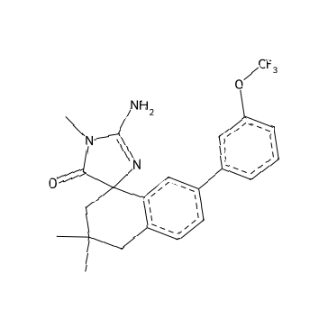 CN1C(=O)C2(CC(C)(C)Cc3ccc(-c4cccc(OC(F)(F)F)c4)cc32)N=C1N